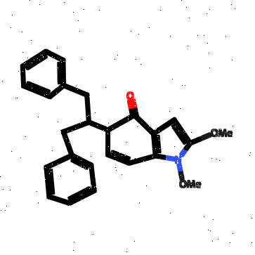 COc1cc2c(n1OC)C=CC(C(Cc1ccccc1)Cc1ccccc1)C2=O